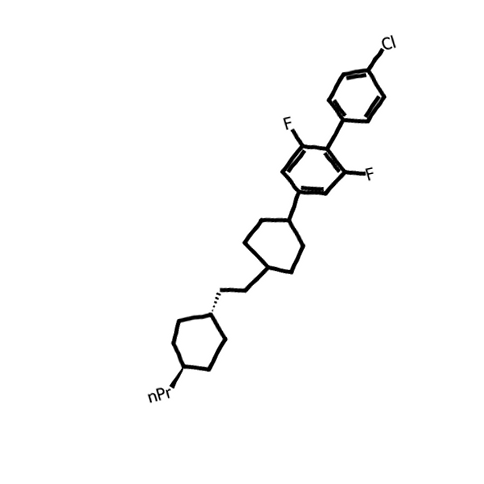 CCC[C@H]1CC[C@H](CCC2CCC(c3cc(F)c(-c4ccc(Cl)cc4)c(F)c3)CC2)CC1